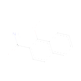 COc1c(C(N)=O)ccc2ccccc12